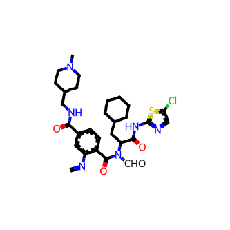 C=Nc1cc(C(=O)NCC2CCN(C)CC2)ccc1C(=O)N(C=O)C(CC1CCCCC1)C(=O)Nc1ncc(Cl)s1